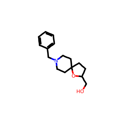 OCC1CCC2(CCN(Cc3ccccc3)CC2)O1